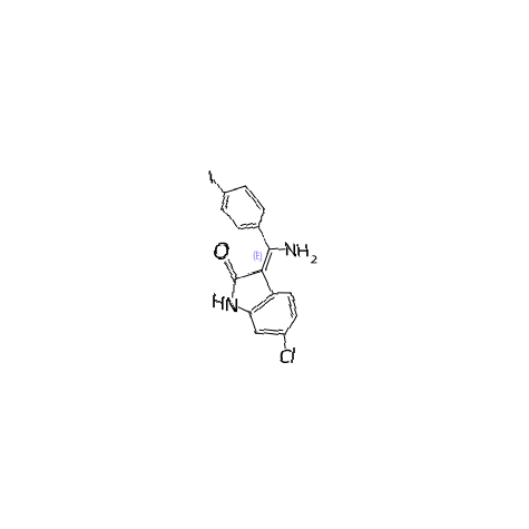 N/C(=C1/C(=O)Nc2cc(Cl)ccc21)c1ccc(I)cc1